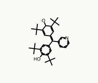 CC(C)(C)C1=CC(=C(c2cccnc2)c2cc(C(C)(C)C)c(O)c(C(C)(C)C)c2)C=C(C(C)(C)C)C1[O]